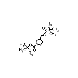 CC(C)(C)OC(=O)N1CCC(C=N[S@+]([O-])C(C)(C)C)C1